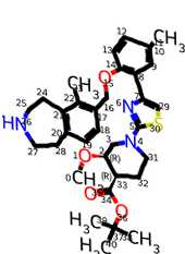 CO[C@H]1CN(c2nc(-c3cc(C)ccc3OCc3ccc4c(c3C)CCNCC4)cs2)CC[C@H]1C(=O)OC(C)(C)C